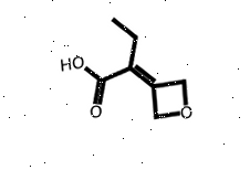 CCC(C(=O)O)=C1COC1